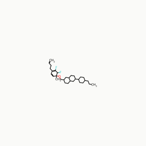 C=CCCC1=C(F)C(F)C(C)(OCC2CCC3CC(C4CCC(CCC)CC4)CCC3C2)C=C1